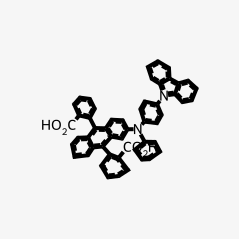 O=C(O)c1ccccc1-c1c2ccccc2c(-c2ccccc2C(=O)O)c2cc(N(c3ccccc3)c3ccc(-n4c5ccccc5c5ccccc54)cc3)ccc12